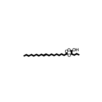 CCCCCCCCC=CCCCCCCCC(=O)OC(CCC)C(=O)O